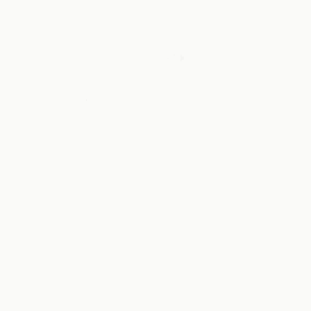 Cc1cc(C=O)cc(OCc2ccc(F)c(F)c2)c1